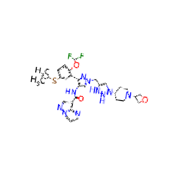 CC(C)Sc1ccc(OC(F)F)c(-c2nn(CC3=CN(C4CCN(C5COC5)CC4)NN3)cc2NC(=O)c2cnn3cccnc23)c1